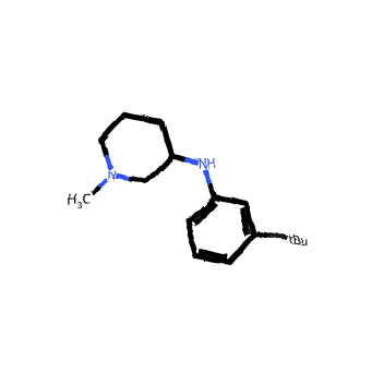 CN1CCCC(Nc2cccc(C(C)(C)C)c2)C1